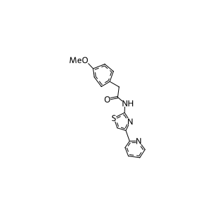 COc1ccc(CC(=O)Nc2nc(-c3ccccn3)cs2)cc1